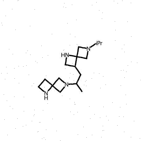 CC(C)N1CC2(C1)NCC2CC(C)N1CC2(CCN2)C1